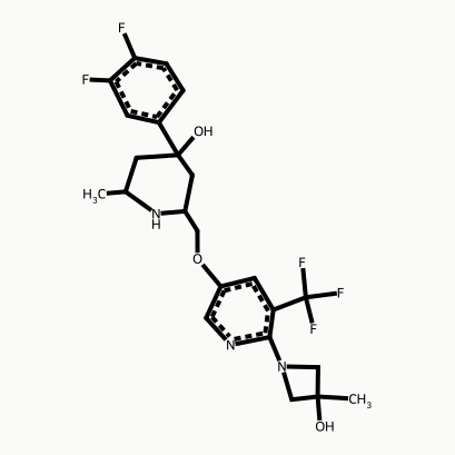 CC1CC(O)(c2ccc(F)c(F)c2)CC(COc2cnc(N3CC(C)(O)C3)c(C(F)(F)F)c2)N1